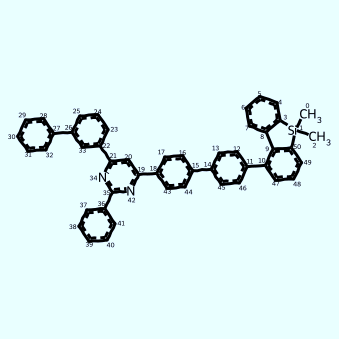 C[Si]1(C)c2ccccc2-c2c(-c3ccc(-c4ccc(-c5cc(-c6cccc(-c7ccccc7)c6)nc(-c6ccccc6)n5)cc4)cc3)cccc21